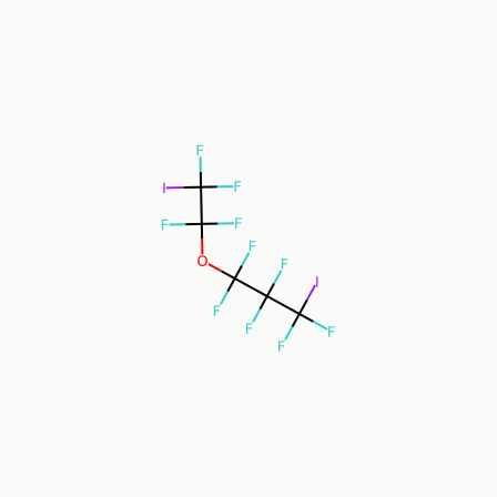 FC(F)(I)C(F)(F)OC(F)(F)C(F)(F)C(F)(F)I